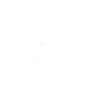 CC(C)(Oc1cccc(N2CCC[C@@H](C(=O)N(Cc3ccc(Br)cc3)C3CCC3)C2)c1)C(=O)N1CCN(C(=O)O)CC1